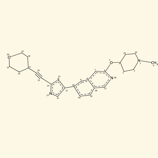 CN1CCC(Oc2cc3cc(-c4cnc(C#CC5CCOCC5)s4)ccc3cn2)CC1